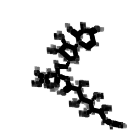 [N-]=[N+]=NC(O)[C@@H](O)[C@@H](O)[C@H](O)[C@@H](O)C(=O)OP(=O)(OC[C@H]1O[C@@H](n2ccc(=O)[nH]c2=O)[C@H](O)[C@@H]1O)OP(=O)(O)O